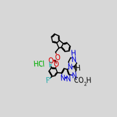 Cl.O=C(OCC1c2ccccc2-c2ccccc21)Oc1c(F)cc(F)cc1-c1cc2c(nn1)N(C(=O)O)C[C@H]1CNCCN21